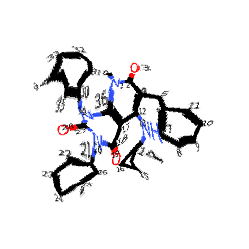 Cn1c(=O)c(Cc2ccccc2)c(NC2CC2)c2c(=O)n(-c3ccccc3)c(=O)n(-c3ccccc3)c21